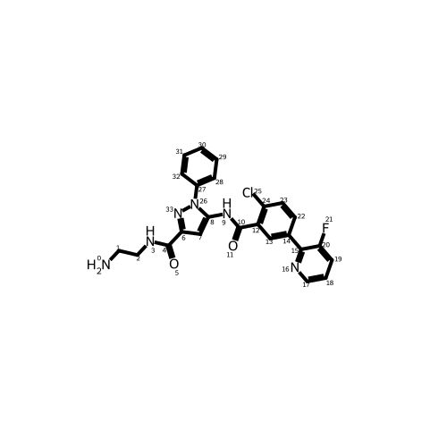 NCCNC(=O)c1cc(NC(=O)c2cc(-c3ncccc3F)ccc2Cl)n(-c2ccccc2)n1